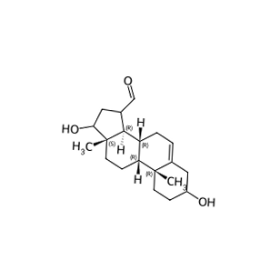 C[C@]12CCC(O)CC1=CC[C@@H]1[C@H]2CC[C@]2(C)C(O)CC(C=O)[C@@H]12